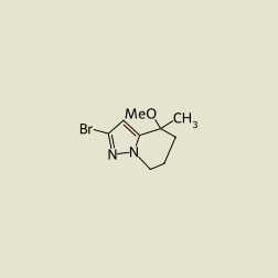 COC1(C)CCCn2nc(Br)cc21